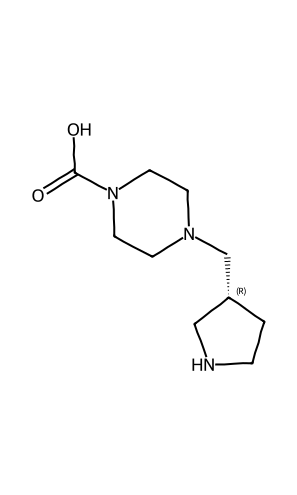 O=C(O)N1CCN(C[C@@H]2CCNC2)CC1